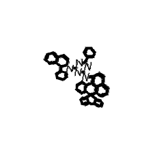 c1ccc(-c2nc(-n3c4ccccc4c4c5ccccc5ccc43)nc(-n3c4cccc5c4c4c6c(cccc6ccc43)C53c4ccccc4-c4ccccc43)n2)cc1